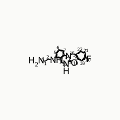 NCCNc1cccc2c1CNC(=O)N2Cc1ccc(F)cc1